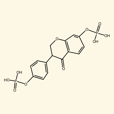 O=C1c2ccc(OP(=O)(O)O)cc2OCC1c1ccc(OP(=O)(O)O)cc1